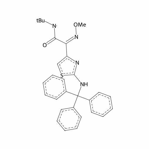 CON=C(C(=O)[N]C(C)(C)C)c1csc(NC(c2ccccc2)(c2ccccc2)c2ccccc2)n1